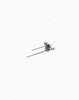 CCCCCCCCCC=CC=CC=CC=CC=CC=CC(=O)O[C@H](CO)COP(=O)([O-])OC(C[N+](C)(C)C)C(=O)CCCCCCCCCCCCCCC